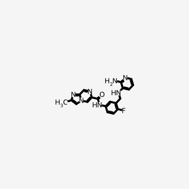 Cc1cn2cc(C(=O)Nc3ccc(F)c(CNc4cccnc4N)c3)ncc2n1